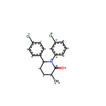 CC1CCC(c2ccc(Cl)cc2)N(c2cccc(Cl)c2)C1=O